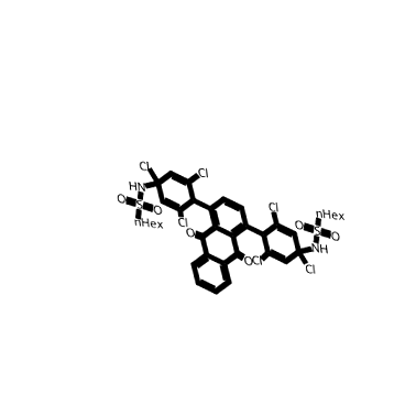 CCCCCCS(=O)(=O)NC1(Cl)C=C(Cl)C(c2ccc(C3C(Cl)=CC(Cl)(NS(=O)(=O)CCCCCC)C=C3Cl)c3c2C(=O)c2ccccc2C3=O)C(Cl)=C1